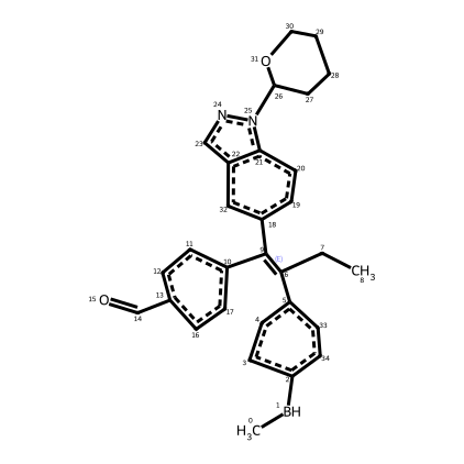 CBc1ccc(/C(CC)=C(\c2ccc(C=O)cc2)c2ccc3c(cnn3C3CCCCO3)c2)cc1